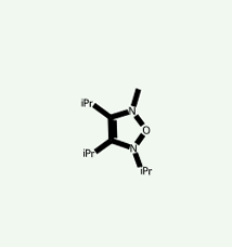 CC(C)C1=C(C(C)C)N(C(C)C)ON1C